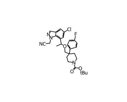 CC(OCC1(c2ccc(F)cc2)CCN(C(=O)OC(C)(C)C)CC1)c1cc(Cl)cc2cnn(CC#N)c12